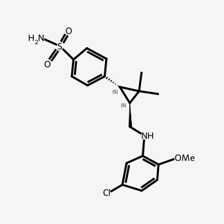 COc1ccc(Cl)cc1NC[C@H]1[C@H](c2ccc(S(N)(=O)=O)cc2)C1(C)C